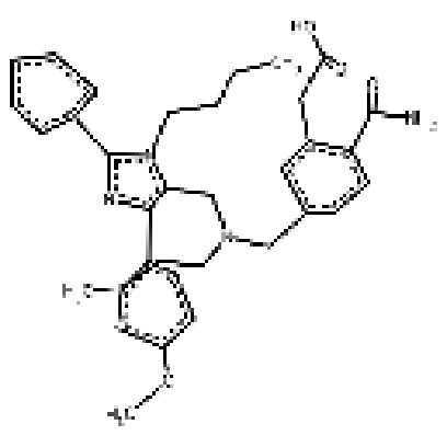 CCCCN(Cc1ccc(C(N)=O)c(CC(=O)O)c1)Cc1c(-c2ccc(OC)cc2)nc(-c2ccccc2)n1CCCC